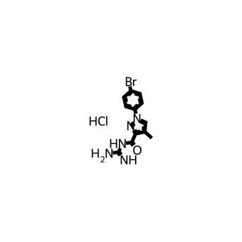 Cc1cn(-c2ccc(Br)cc2)nc1C(=O)NC(=N)N.Cl